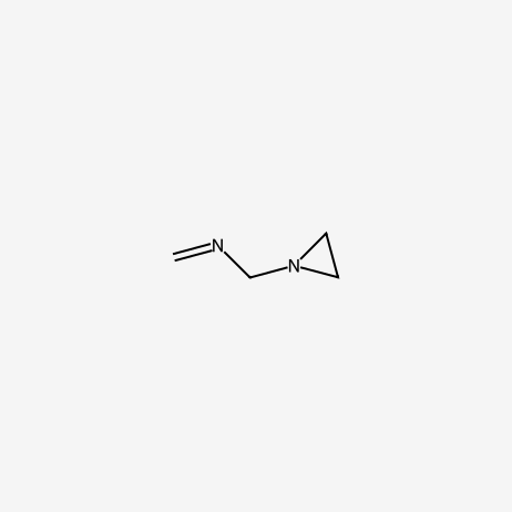 C=NCN1CC1